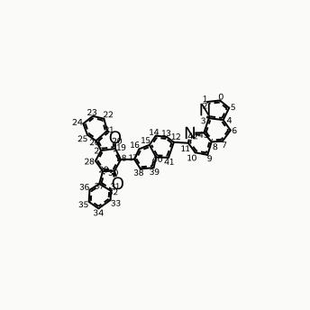 c1cnc2c(c1)ccc1ccc(-c3ccc4cc(-c5c6oc7ccccc7c6cc6c5oc5ccccc56)ccc4c3)nc12